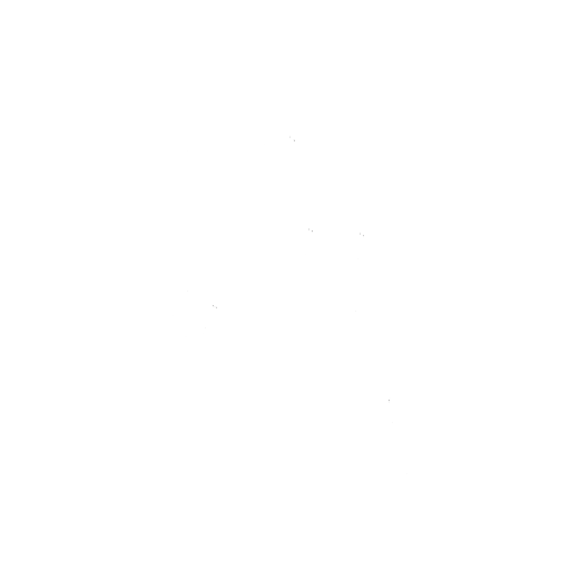 c1cc(-c2ccc3nc(-c4cccc(-n5c6ccccc6c6c7c(ccc65)sc5ccccc57)c4)nc(-c4ccc(-n5c6ccccc6c6c7c(ccc65)sc5ccccc57)cc4)c3c2)cc(-n2c3ccccc3c3c4c(ccc32)sc2ccccc24)c1